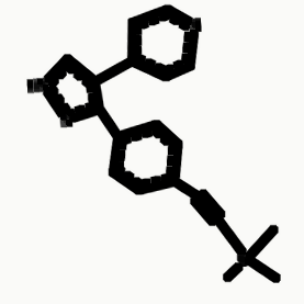 C[Si](C)(C)C#Cc1ccc(-c2n[nH]cc2-c2ccncc2)cc1